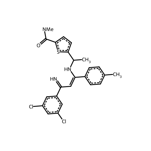 CNC(=O)c1ccc(C(C)N/C(=C\C(=N)c2cc(Cl)cc(Cl)c2)c2ccc(C)cc2)s1